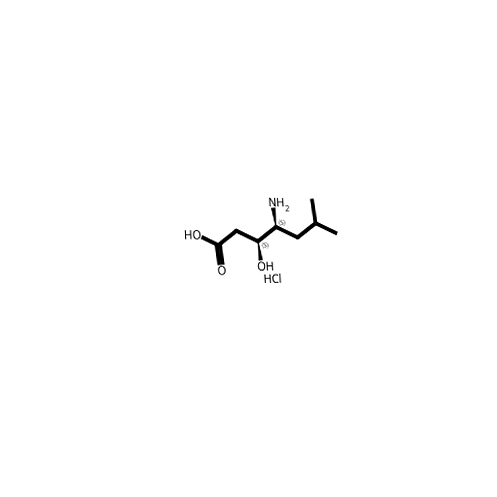 CC(C)C[C@H](N)[C@@H](O)CC(=O)O.Cl